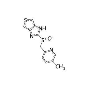 Cc1ccc(C[S+]([O-])c2nc3cscc3[nH]2)nc1